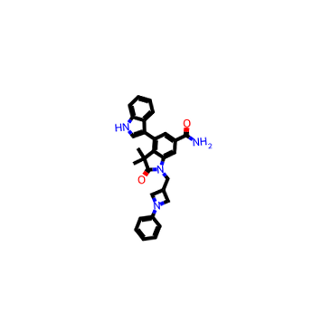 CC1(C)C(=O)N(CC2CN(c3ccccc3)C2)c2cc(C(N)=O)cc(-c3c[nH]c4ccccc34)c21